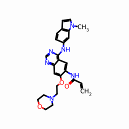 C=CC(=O)Nc1cc2c(Nc3ccc4ccn(C)c4c3)ncnc2cc1OCCN1CCOCC1